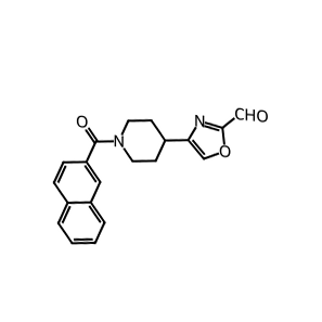 O=Cc1nc(C2CCN(C(=O)c3ccc4ccccc4c3)CC2)co1